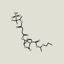 CCCOC(C)OC(=O)C1C2OC3C(OC(=O)C31)C2OC(=O)CCC(=O)OC(C)C(F)(F)S(=O)(=O)O